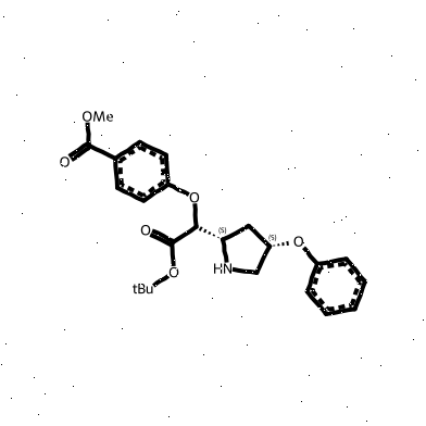 COC(=O)c1ccc(OC(C(=O)OC(C)(C)C)[C@@H]2C[C@H](Oc3ccccc3)CN2)cc1